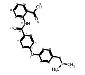 CN(C)Cc1ccc(Oc2ccc(C(=O)Nc3ccccc3C(=O)O)cc2)cc1